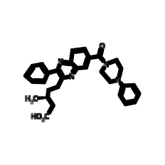 C[C@@H](CCc1nc2cc(C(=O)N3CCN(c4ccccc4)CC3)ccc2nc1-c1ccccc1)CC(=O)O